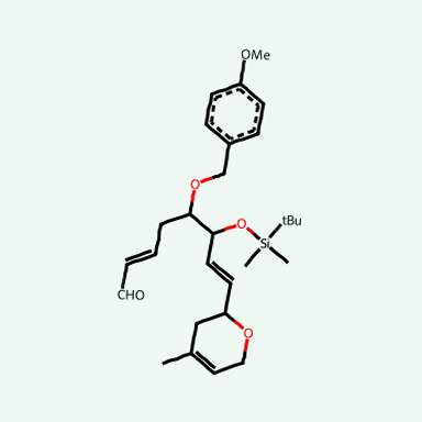 COc1ccc(COC(CC=CC=O)C(C=CC2CC(C)=CCO2)O[Si](C)(C)C(C)(C)C)cc1